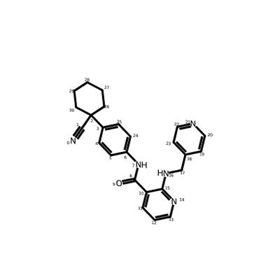 N#CC1(c2ccc(NC(=O)c3cccnc3NCc3ccncc3)cc2)CCCCC1